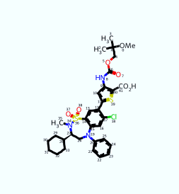 COC(C)(C)COC(=O)Nc1cc(-c2cc3c(cc2Cl)N(c2ccccc2)C[C@@H](C2CCCCC2)N(C)S3(=O)=O)sc1C(=O)O